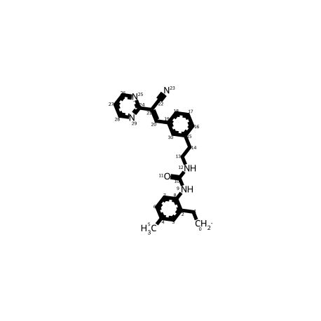 [CH2]Cc1cc(C)ccc1NC(=O)NCCc1cccc(C=C(C#N)c2ncccn2)c1